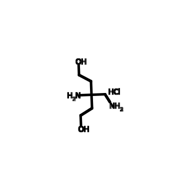 Cl.NCC(N)(CCO)CCO